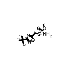 COP(N)(=O)SCc1nc(C(C)(C)C)no1